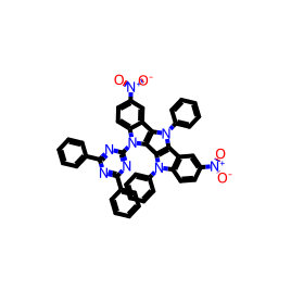 O=[N+]([O-])c1ccc2c(c1)c1c(c3c(c4cc([N+](=O)[O-])ccc4n3-c3nc(-c4ccccc4)nc(-c4ccccc4)n3)n1-c1ccccc1)n2-c1ccccc1